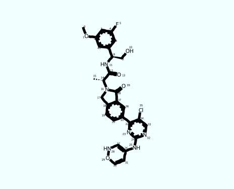 COc1cc(F)cc([C@@H](CO)NC(=O)[C@@H](C)N2Cc3ccc(-c4nc(NC5=CNOC=C5)ncc4Cl)cc3C2=O)c1